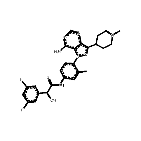 Cc1cc(NC(=O)C(O)c2cc(F)cc(F)c2)ccc1-n1nc(C2CCN(C)CC2)c2ncnc(N)c21